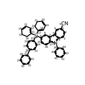 N#Cc1ccc2c(c1)c1cc([Si](C3=CC=CCC3)(C3=CC=CCC3)c3ccc(-c4ccccc4)cc3)ccc1n2-c1ccccc1